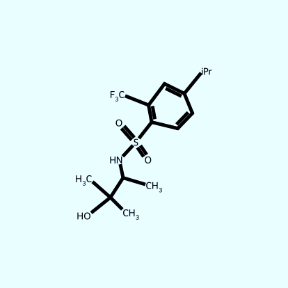 CC(C)c1ccc(S(=O)(=O)NC(C)C(C)(C)O)c(C(F)(F)F)c1